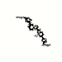 CCCCCCCc1noc(C2=CCC[N+](C)(OC(=O)C(=O)O[N+]3(C)CCC=C(c4nc(CCCCCCC)no4)C3)C2)n1